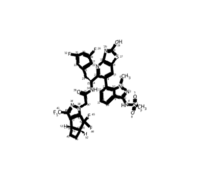 Cn1nc(NS(C)(=O)=O)c2cccc(-c3cc4sc(O)nc4nc3[C@H](Cc3cc(F)cc(F)c3)NC(=O)Cn3nc(C(F)(F)F)c4c3C(F)(F)[C@@H]3CC[C@H]43)c21